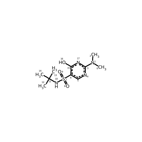 CN(C)c1ncc(S(=O)(=O)NC(C)(C)C)c(O)n1